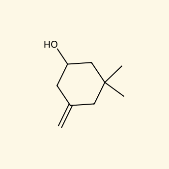 C=C1CC(O)CC(C)(C)C1